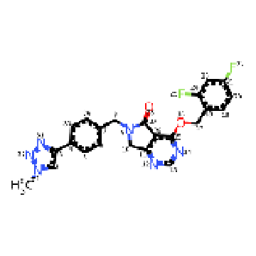 Cn1cc(-c2ccc(CN3Cc4ncnc(OCc5ccc(F)cc5F)c4C3=O)cc2)nn1